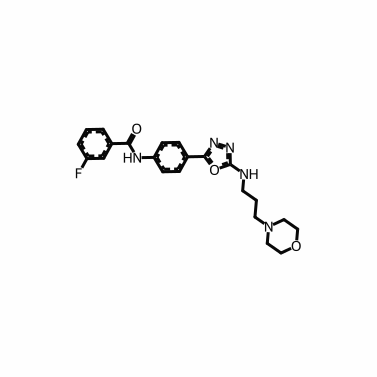 O=C(Nc1ccc(-c2nnc(NCCCN3CCOCC3)o2)cc1)c1cccc(F)c1